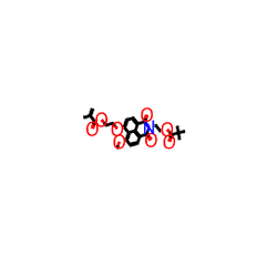 C=C(C)C(=O)OCCOc1ccc2c3c(ccc(OC)c13)C(=O)N(CCOC(=O)C(C)(C)C)C2=O